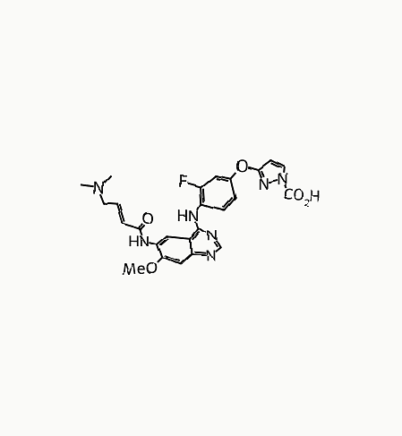 COc1cc2ncnc(Nc3ccc(Oc4ccn(C(=O)O)n4)cc3F)c2cc1NC(=O)/C=C/CN(C)C